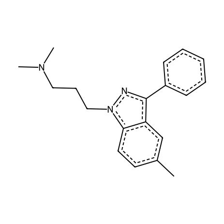 Cc1ccc2c(c1)c(-c1ccccc1)nn2CCCN(C)C